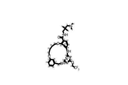 CN(C)CC(C)(C)CNC(=O)c1ccc2cc1OCCCCOc1cccc(c1)CNc1nc(nc(OCC(F)(F)F)n1)N2